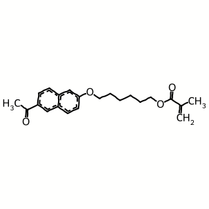 C=C(C)C(=O)OCCCCCCOc1ccc2cc(C(C)=O)ccc2c1